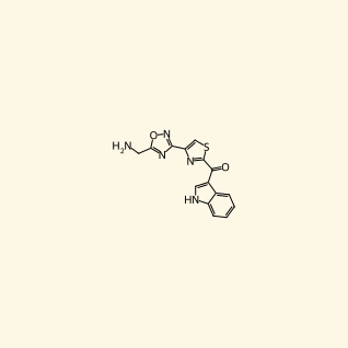 NCc1nc(-c2csc(C(=O)c3c[nH]c4ccccc34)n2)no1